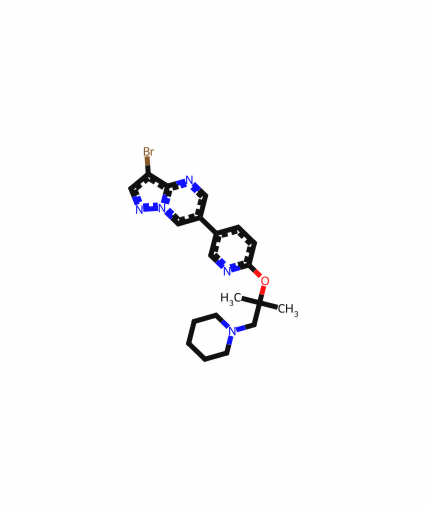 CC(C)(CN1CCCCC1)Oc1ccc(-c2cnc3c(Br)cnn3c2)cn1